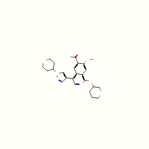 CC(C)Oc1cc2c(OC3CCCNC3)ncc(-c3cnn(C4CCOCC4)c3)c2cc1C(N)=O